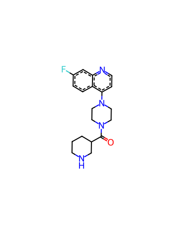 O=C(C1CCCNC1)N1CCN(c2ccnc3cc(F)ccc23)CC1